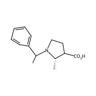 CC(c1ccccc1)N1CCC(C(=O)O)[C@@H]1C